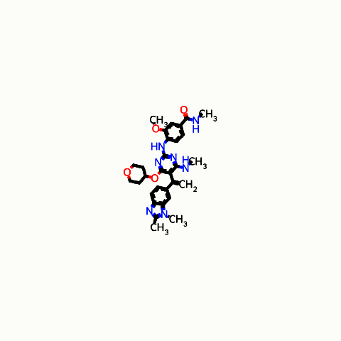 C=C(c1ccc2nc(C)n(C)c2c1)c1c(NC)nc(Nc2ccc(C(=O)NC)cc2OC)nc1OC1CCOCC1